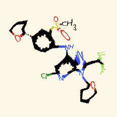 CS(=O)(=O)c1cc([C@H]2CCCO2)ccc1Nc1cc(Cl)nc2c1nc(C(F)F)n2C1CCCCO1